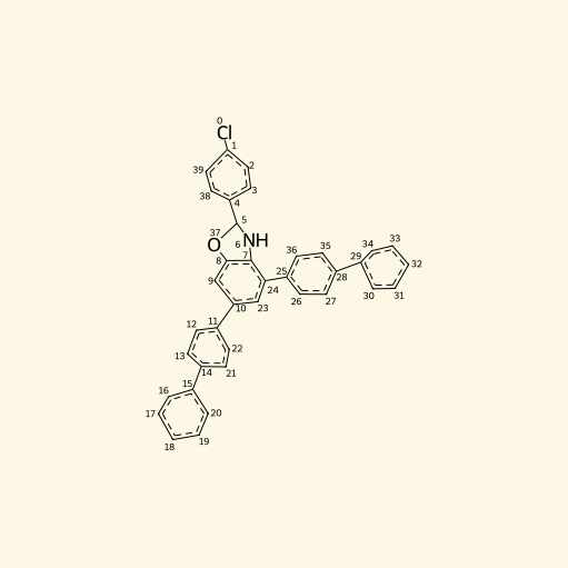 Clc1ccc(C2Nc3c(cc(-c4ccc(-c5ccccc5)cc4)cc3-c3ccc(-c4ccccc4)cc3)O2)cc1